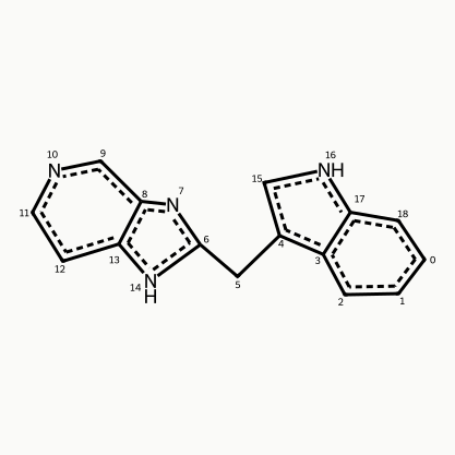 c1ccc2c(Cc3nc4cnccc4[nH]3)c[nH]c2c1